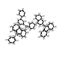 c1ccc(-c2cccc(N(c3ccc(-c4cc(-n5c6ccccc6c6ccccc65)cc5ccccc45)cc3)c3cccc4c3c3ccccc3n4-c3ccccc3)c2)cc1